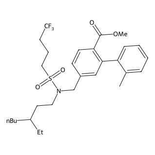 CCCCC(CC)CCN(Cc1ccc(C(=O)OC)c(-c2ccccc2C)c1)S(=O)(=O)CCCC(F)(F)F